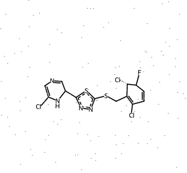 FC1C=CC(Cl)=C(CSc2nnc(C3C=NC=C(Cl)N3)s2)[C@@H]1Cl